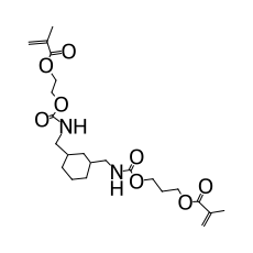 C=C(C)C(=O)OCCCOC(=O)NCC1CCCC(CNC(=O)OCCOC(=O)C(=C)C)C1